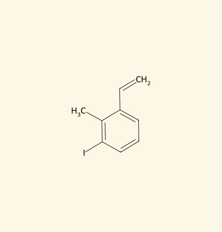 C=Cc1cccc(I)c1C